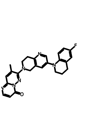 Cc1cc2nccc(=O)n2nc1N1CCc2ncc(N3CCCc4cc(F)ccc43)cc2C1